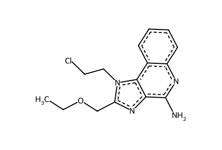 CCOCc1nc2c(N)nc3ccccc3c2n1CCCl